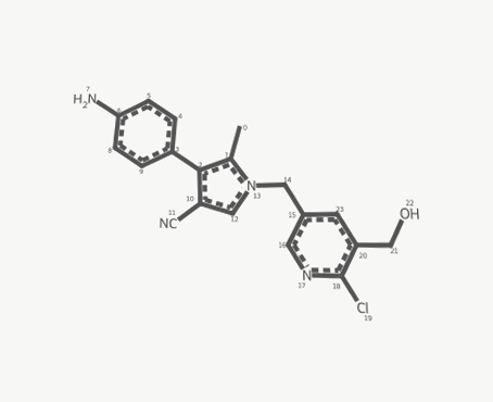 Cc1c(-c2ccc(N)cc2)c(C#N)cn1Cc1cnc(Cl)c(CO)c1